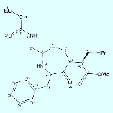 COC(=O)[C@H](CC(C)C)N1CCC(CNC(=O)OC(C)(C)C)NC(Cc2ccccc2)C1=O